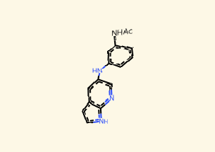 CC(=O)Nc1cccc(Nc2cnc3[nH]ccc3c2)c1